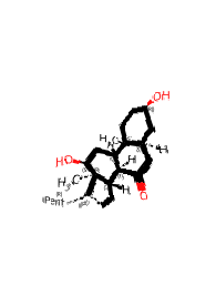 CCC[C@@H](C)[C@H]1CC[C@H]2[C@@H]3C(=O)C[C@@H]4C[C@H](O)CC[C@]4(C)[C@H]3C[C@H](O)[C@]12C